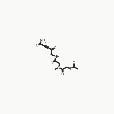 CC(=O)SCC(=O)N(C)CC(=O)NCC(=O)C#CC(N)=O